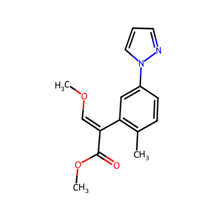 CO/C=C(/C(=O)OC)c1cc(-n2cccn2)ccc1C